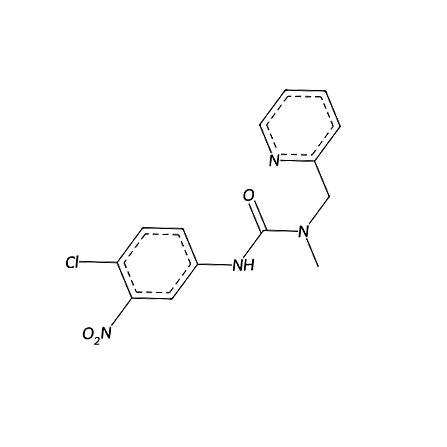 CN(Cc1ccccn1)C(=O)Nc1ccc(Cl)c([N+](=O)[O-])c1